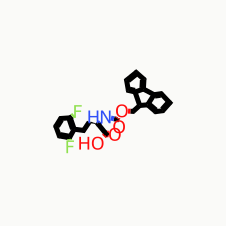 O=C(N[C@@H](CCc1c(F)cccc1F)C(=O)O)OCC1c2ccccc2-c2ccccc21